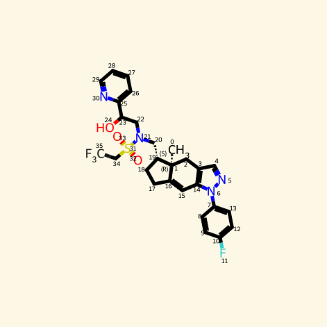 C[C@]12Cc3cnn(-c4ccc(F)cc4)c3C=C1CC[C@@H]2CN(CC(O)c1ccccn1)S(=O)(=O)CC(F)(F)F